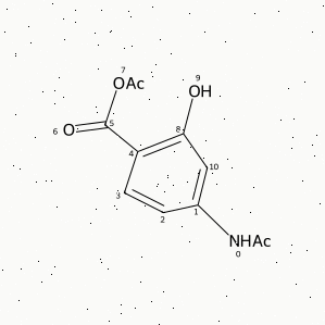 CC(=O)Nc1ccc(C(=O)OC(C)=O)c(O)c1